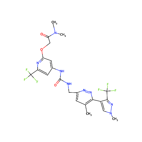 Cc1cc(CNC(=O)Nc2cc(OCC(=O)N(C)C)nc(C(F)(F)F)c2)nnc1-c1cn(C)nc1C(F)(F)F